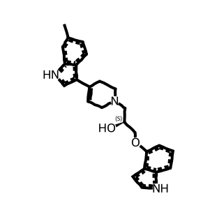 Cc1ccc2c(C3=CCN(C[C@H](O)COc4cccc5[nH]ccc45)CC3)c[nH]c2c1